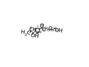 C=C(C)C(O)c1ccc(C(=O)OCCOCCO)cc1